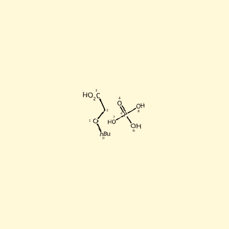 CCCCOCC(=O)O.O=P(O)(O)O